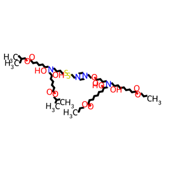 CCCCOC(=O)CCCCCCC(O)CN(CCCC(=O)OCCN1CCN(CCSSCCCCN(CC(O)CCCCC(=O)OCC(CC)CC)CC(O)CCCCC(=O)OCC(CC)CC)CC1)CC(O)CCCCCCC(=O)OCCCC